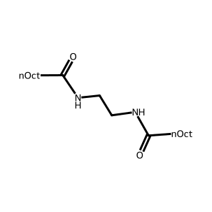 CCCCCCCCC(=O)NCCNC(=O)CCCCCCCC